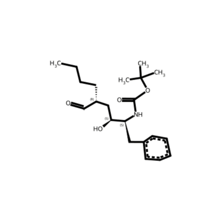 CCCC[C@@H]([C]=O)C[C@H](O)[C@H](Cc1ccccc1)NC(=O)OC(C)(C)C